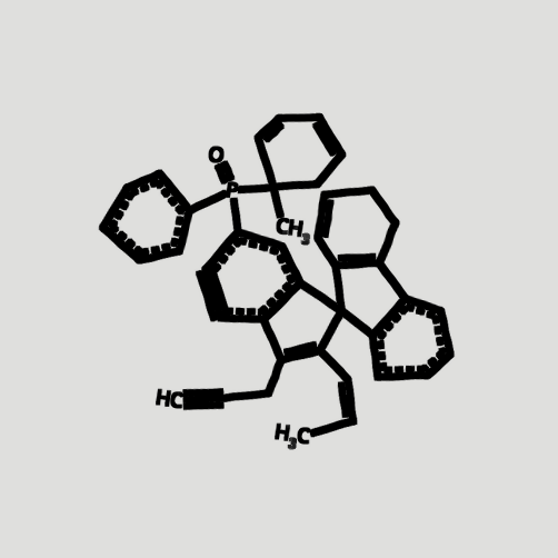 C#CCC1=C(/C=C\C)C2(C3=C(CCC=C3)c3ccccc32)c2cc(P(=O)(c3ccccc3)C3(C)C=CC=CC3)c#cc21